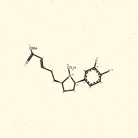 COC(=O)/C=C/CC[C@@H]1CC[C@H](c2ccc(F)c(F)c2)N1C(=O)O